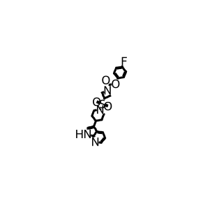 O=C(Oc1ccc(F)cc1)N1CC(S(=O)(=O)N2CCC(c3c[nH]c4ncccc34)CC2)C1